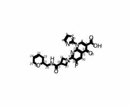 O=C(O)c1cn(-c2nccs2)c2nc(N3CC(C(=O)NCC4CC=CCO4)C3)c(F)cc2c1=O